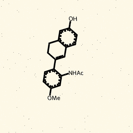 COc1ccc(C2=Cc3ccc(O)cc3CC2)c(NC(C)=O)c1